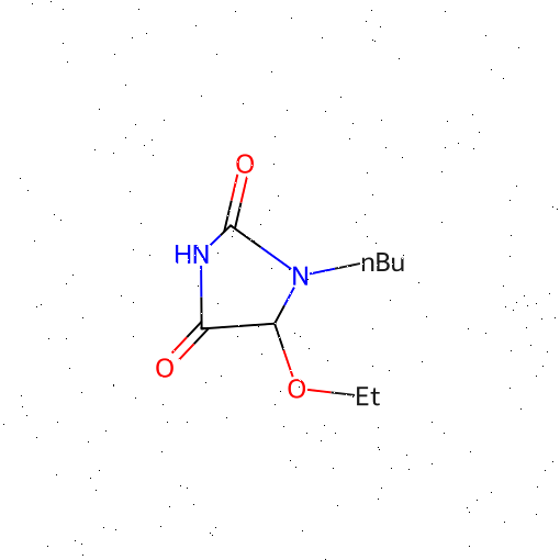 CCCCN1C(=O)NC(=O)C1OCC